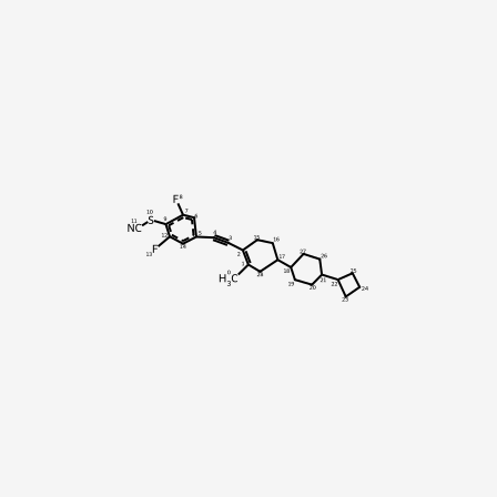 CC1=C(C#Cc2cc(F)c(SC#N)c(F)c2)CCC(C2CCC(C3CCC3)CC2)C1